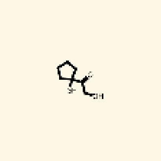 O=C(CO)C1(S)CCCC1